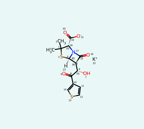 CC1(C)S[C@@H]2[C@H]([C@H](O)C(=O)c3ccsc3)C(=O)N2[C@H]1C(=O)[O-].[K+]